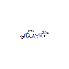 CC(C)(C)C1CCCN(C2CCN(CC3CC(C(C)(C)C)CN(C4COC4)C3)CC2)C1